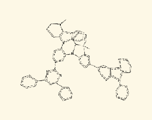 CC1CC=Cc2c1c1ccccc1n2-c1ccc(-c2nc(-c3ccccc3)nc(-c3ccccc3)n2)cc1N1c2ccc(-c3ccc4c(c3)c3ccccc3n4-c3ccccc3)cc2C2(C)C=CC=CC12